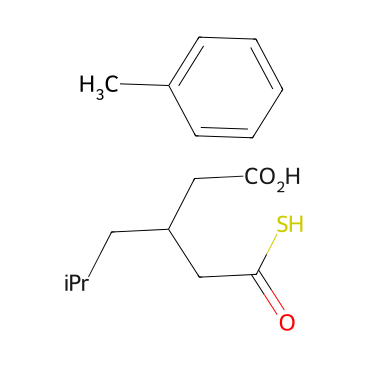 CC(C)CC(CC(=O)O)CC(=O)S.Cc1ccccc1